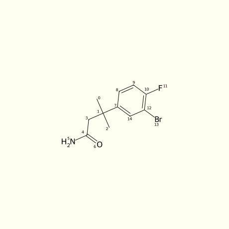 CC(C)(CC(N)=O)c1ccc(F)c(Br)c1